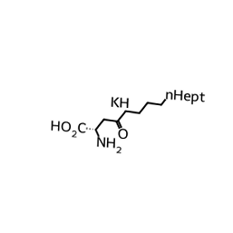 CCCCCCCCCCCC(=O)C[C@H](N)C(=O)O.[KH]